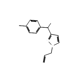 C=CCn1ccc(C(O)c2ccc(C)cc2)n1